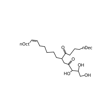 CCCCCCCC/C=C\CCCCCC(CC(=O)C(O)C(O)CO)C(=O)CCCCCCCCCCCCC